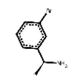 [CH2][C@H](N)c1cccc(Br)c1